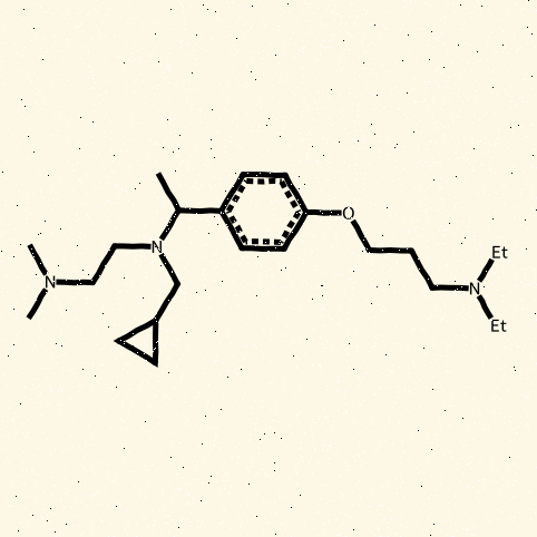 CCN(CC)CCCOc1ccc(C(C)N(CCN(C)C)CC2CC2)cc1